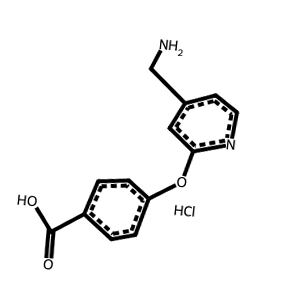 Cl.NCc1ccnc(Oc2ccc(C(=O)O)cc2)c1